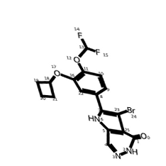 O=c1[nH]ncc2[nH]c(-c3ccc(OC(F)F)c(OC4CCC4)c3)c(Br)c12